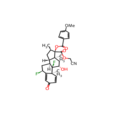 COc1ccc(C(=O)O[C@]2(C(=O)OCC#N)[C@H](C)C[C@H]3[C@@H]4C[C@H](F)C5=CC(=O)C=C[C@]5(C)[C@@]4(F)[C@@H](O)C[C@@]32C)cc1